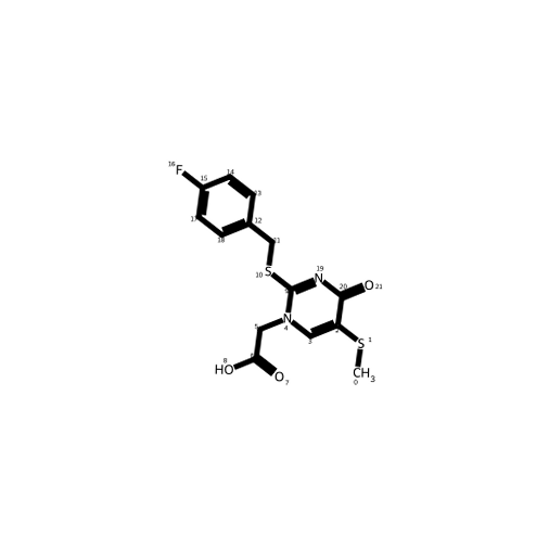 CSc1cn(CC(=O)O)c(SCc2ccc(F)cc2)nc1=O